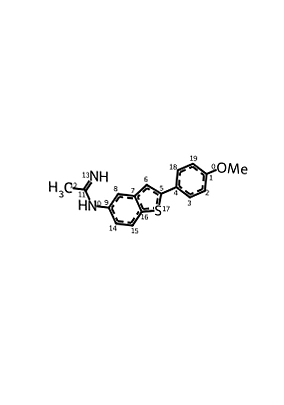 COc1ccc(-c2cc3cc(NC(C)=N)ccc3s2)cc1